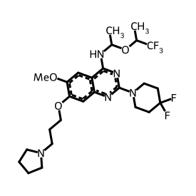 COc1cc2c(NC(C)OC(C)C(F)(F)F)nc(N3CCC(F)(F)CC3)nc2cc1OCCCN1CCCC1